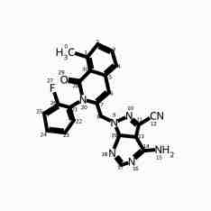 Cc1cccc2cc(CN3N=C(C#N)C4C(N)=NC=NC43)n(-c3ccccc3F)c(=O)c12